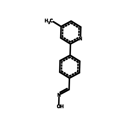 Cc1ccnc(-c2ccc(C=NO)cc2)c1